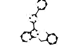 Fc1ccccc1Cn1nc(-c2n[nH]c(-c3ccccn3)n2)c2cccnc21